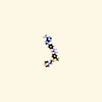 CNc1ncnc2c1ncn2-c1ccc(NC(=O)Nc2ccc(OCCN3CCOCC3)c(C(F)(F)F)c2)cc1